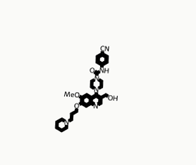 COc1cc2c(N3CCN(C(=O)Nc4ccc(C#N)cc4)CC3)c(CO)cnc2cc1OCCCN1CCCCC1